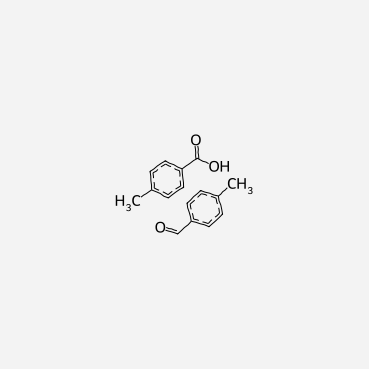 Cc1ccc(C(=O)O)cc1.Cc1ccc(C=O)cc1